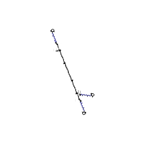 CN[C@@H](CCCCNC(=O)/C=C(C)/C=C/C=C(C)/C=C/C1=C(C)CCCC1(C)C)C(=O)NCCOCCOCCNC(=O)CCOCCOCCOCCOCCC(=O)NCCOCCOCCNC(=O)[C@H](CCCCNC(=O)/C=C(C)/C=C/C=C(C)/C=C/C1=C(C)CCCC1(C)C)NC(=O)/C=C(C)/C=C/C=C(C)/C=C/C1=C(C)CCCC1(C)C